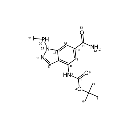 CC(C)(C)OC(=O)Nc1cc(C(N)=O)cc2c1cnn2PI